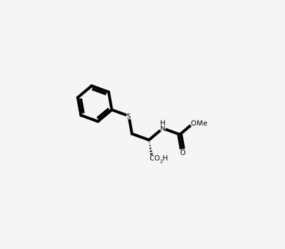 COC(=O)N[C@@H](CSc1ccccc1)C(=O)O